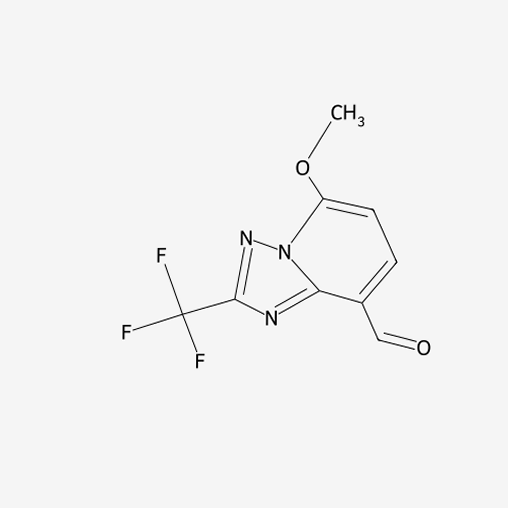 COc1ccc(C=O)c2nc(C(F)(F)F)nn12